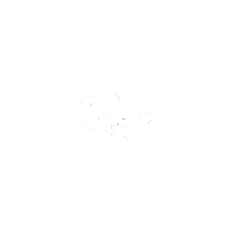 CCC1=CC2=C(C=CC=CC2c2ccccc2)[CH]1[Hf+2]([CH]1C(CC)=CC2=C1C=CC=CC2c1ccccc1)=[Si](C)C.[Cl-].[Cl-]